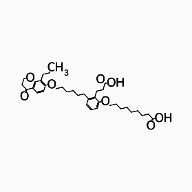 CCCc1c(OCCCCCCc2cccc(OCCCCCCCCC(=O)O)c2CCC(=O)O)ccc2c1OCCC2=O